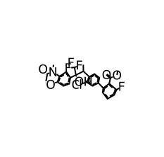 COC(=O)c1c(F)cccc1-c1ccc(C(C)C(O)(c2ccc3c(c2)N(C)C(=O)CO3)C(F)(F)F)c(Cl)c1